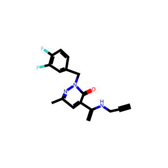 C#CCNC(=C)c1cc(C)nn(Cc2ccc(F)c(F)c2)c1=O